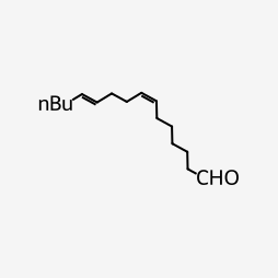 CCCCC=CCC/C=C\CCCCCC=O